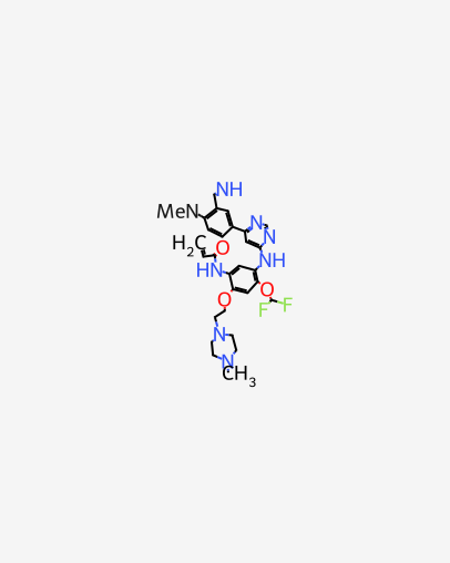 C=CC(=O)Nc1cc(Nc2cc(-c3ccc(NC)c(C=N)c3)ncn2)c(OC(F)F)cc1OCCN1CCN(C)CC1